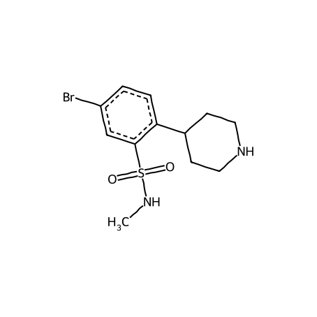 CNS(=O)(=O)c1cc(Br)ccc1C1CCNCC1